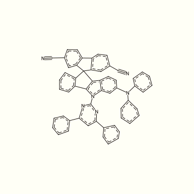 N#Cc1ccc2c(c1)C1(c3cc(C#N)ccc3-2)c2ccccc2-c2c1c1ccc(N(c3ccccc3)c3ccccc3)cc1n2-c1nc(-c2ccccc2)cc(-c2ccccc2)n1